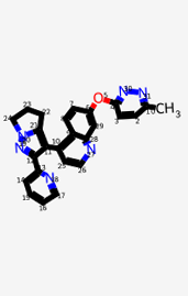 Cc1ccc(Oc2ccc3c(-c4c(-c5ccccn5)nn5c4CCC5)ccnc3c2)nn1